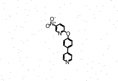 O=[N+]([O-])c1ccc(Oc2ccc(-c3ccncc3)cc2)nc1